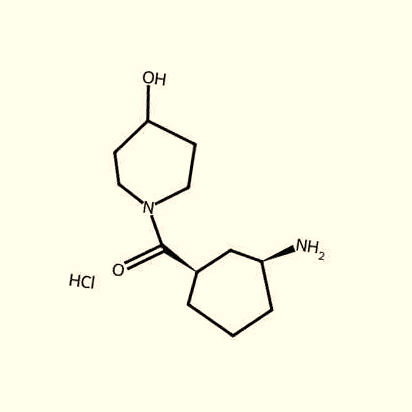 Cl.N[C@H]1CCC[C@@H](C(=O)N2CCC(O)CC2)C1